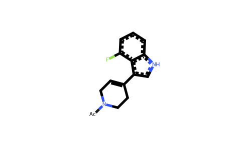 CC(=O)N1CC=C(c2c[nH]c3cccc(F)c23)CC1